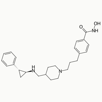 O=C(NO)c1ccc(CCCN2CCC(CN[C@H]3C[C@@H]3c3ccccc3)CC2)cc1